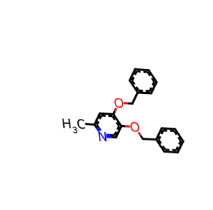 Cc1cc(OCc2ccccc2)c(OCc2ccccc2)cn1